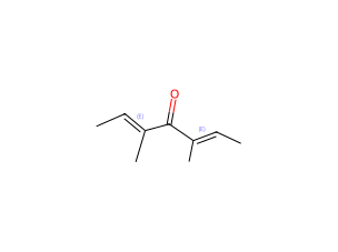 C/C=C(\C)C(=O)/C(C)=C/C